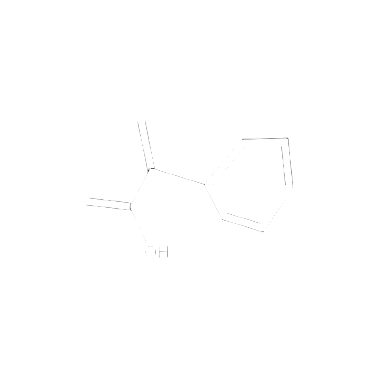 C=C(O)C(=C)c1ccccc1